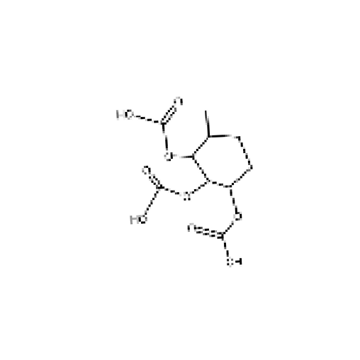 CC1CCC(OC(=O)O)C(OC(=O)O)C1OC(=O)O